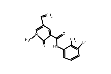 C=Cc1cc(C(=O)Nc2cccc(Br)c2C)c(=O)n(C)c1